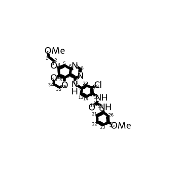 COCCOc1cc2ncnc(Nc3ccc(NC(=O)Nc4cccc(OC)c4)c(Cl)c3)c2c2c1OCCO2